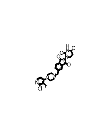 O=C1CCN(N2C(=O)c3ccc(CN4CCN(c5ccnc(Cl)c5F)CC4)cc3C2=O)C(=O)N1